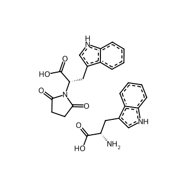 N[C@@H](Cc1c[nH]c2ccccc12)C(=O)O.O=C(O)[C@H](Cc1c[nH]c2ccccc12)N1C(=O)CCC1=O